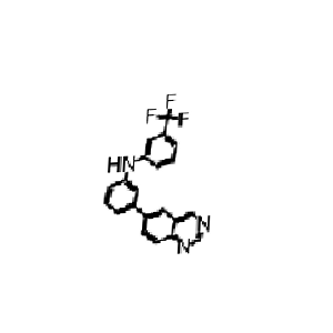 FC(F)(F)c1cccc(Nc2cccc(-c3ccc4ncncc4c3)c2)c1